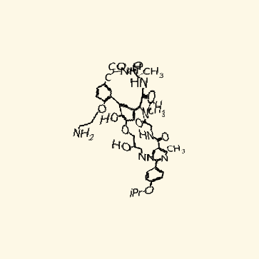 Cc1nc(-c2ccc(OC(C)C)cc2)ncc1C(=O)NCC(=O)N(C)[C@@H]1C(=O)N[C@@H](C)C(=O)N[C@H](C(=O)O)Cc2ccc(OCCCN)c(c2)-c2cc1cc(OC[C@H](O)CN)c2O